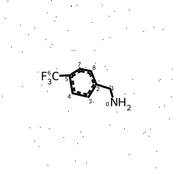 N[CH]c1ccc(C(F)(F)F)cc1